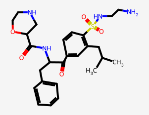 CC(C)Cc1cc(C(=O)C(Cc2ccccc2)NC(=O)C2CNCCO2)ccc1S(=O)(=O)NCCN